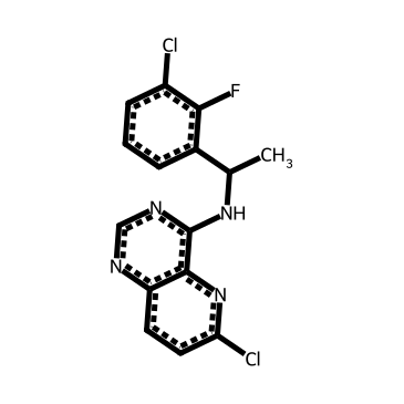 CC(Nc1ncnc2ccc(Cl)nc12)c1cccc(Cl)c1F